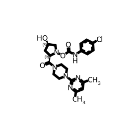 Cc1cc(C)nc(N2CCN(C(=O)[C@H]3C[C@@H](O)CN3OC(=O)Nc3ccc(Cl)cc3)CC2)n1